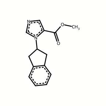 COC(=O)c1cncn1C1Cc2ccccc2C1